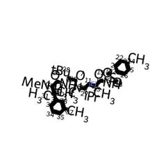 CN[C@H](C(=O)N[C@H](C(=O)N(C)[C@H](/C=C(\C)C(=O)NS(=O)(=O)c1ccc(C)cc1)C(C)C)C(C)(C)C)C(C)(C)c1cccc(C)c1